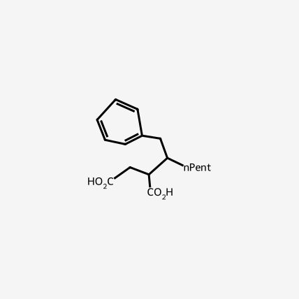 CCCCCC(Cc1ccccc1)C(CC(=O)O)C(=O)O